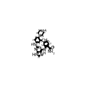 Cc1cc(Nc2nc(NC3C4C=CC(C4)C3C(N)=O)c3nc[nH]c3n2)ccc1N1CCNCC1